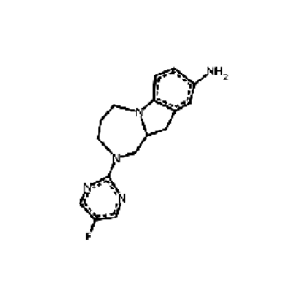 Nc1ccc2c(c1)CC1CN(c3ncc(F)cn3)CCCN21